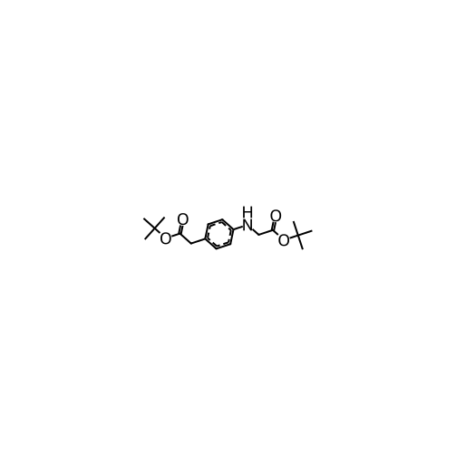 CC(C)(C)OC(=O)CNc1ccc(CC(=O)OC(C)(C)C)cc1